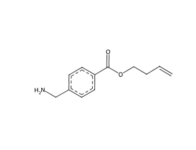 C=CCCOC(=O)c1ccc(CN)cc1